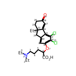 CCN(CC)CCCC(Oc1cc2c(c(Cl)c1Cl)C1=CC(=O)CCC1(CC)C2)C(=O)O